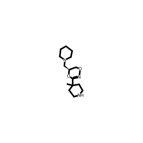 CC1(C2=NOC[C@H](CN3CCCCC3)O2)CCNCC1